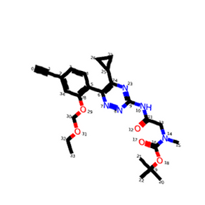 C#Cc1ccc(-c2nnc(NC(=O)CN(C)C(=O)OC(C)(C)C)nc2C2CC2)c(OCOCC)c1